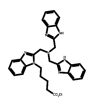 CCOC(=O)CCCCn1c(CN(Cc2nc3ccccc3[nH]2)Cc2nc3ccccc3[nH]2)nc2ccccc21